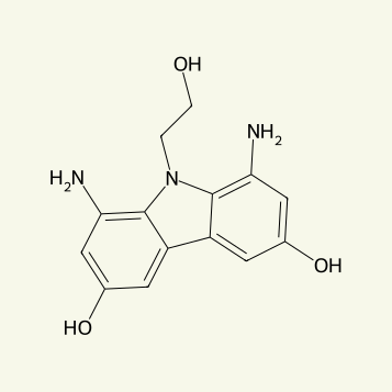 Nc1cc(O)cc2c3cc(O)cc(N)c3n(CCO)c12